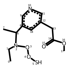 CCN(OOS)C(C)c1cncc(CC(=O)OC)c1